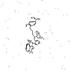 C=C(C(=O)c1c(Cl)cccc1C(F)(F)F)c1ccccc1CC(CCCc1ccc(C(=O)O)cc1F)C(C)CC